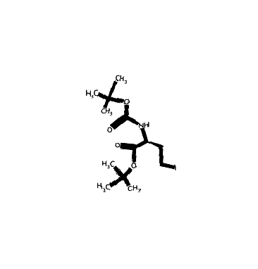 CC(C)(C)OC(=O)N[C@@H](CCI)C(=O)OC(C)(C)C